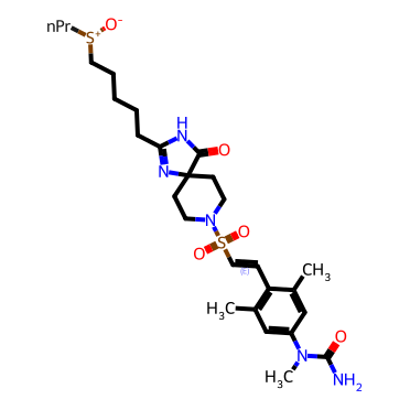 CCC[S+]([O-])CCCCCC1=NC2(CCN(S(=O)(=O)/C=C/c3c(C)cc(N(C)C(N)=O)cc3C)CC2)C(=O)N1